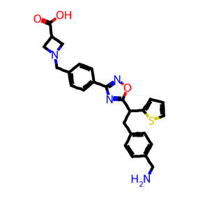 NCc1ccc(CC(c2nc(-c3ccc(CN4CC(C(=O)O)C4)cc3)no2)c2cccs2)cc1